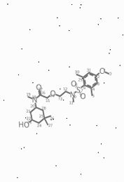 COc1cc(C)c(S(=O)(=O)N(C)CCOCC(=O)N(C)C2CC(O)CC(C)(C)C2)c(C)c1